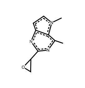 Cc1nc(C2CO2)nc2ccn(C)c12